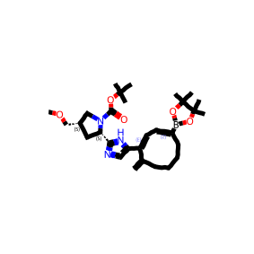 C=C1CCCC/C(B2OC(C)(C)C(C)(C)O2)=C\C=C/1c1cnc([C@@H]2C[C@H](COC)CN2C(=O)OC(C)(C)C)[nH]1